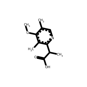 COc1c(C)cnc(C(C)C(=O)O)c1C